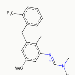 CCN(C)/C=N/c1cc(OC)cc(Cc2ccccc2C(F)(F)F)c1C